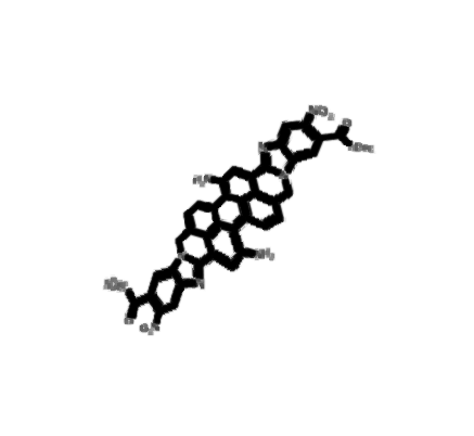 CCCCCCCCCCC(=O)c1cc2c(cc1[N+](=O)[O-])nc1n2Cc2ccc3c4c(N)cc5c6c(ccc(c7c(N)cc-1c2c37)c64)Cn1c-5nc2cc([N+](=O)[O-])c(C(=O)CCCCCCCCCC)cc21